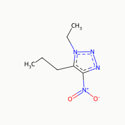 CCCc1c([N+](=O)[O-])nnn1CC